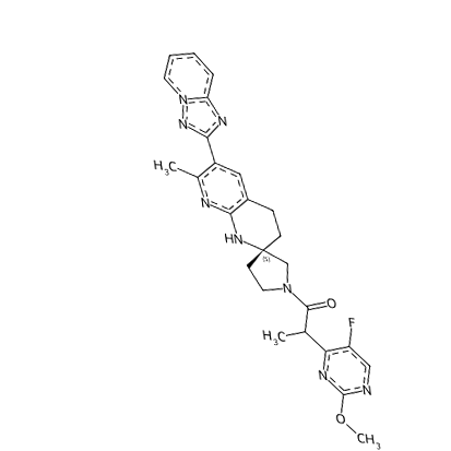 COc1ncc(F)c(C(C)C(=O)N2CC[C@@]3(CCc4cc(-c5nc6ccccn6n5)c(C)nc4N3)C2)n1